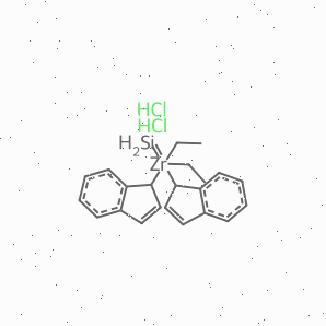 C[CH2][Zr](=[SiH2])([CH2]C)([CH]1C=Cc2ccccc21)[CH]1C=Cc2ccccc21.Cl.Cl